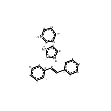 C(=Cc1ccccc1)c1ccccc1.c1c[nH]nn1.c1ccncc1